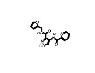 O=C(Nc1c[nH]nc1C(=O)NCc1ccco1)c1ccccn1